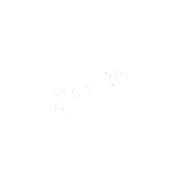 C=C(NCC(=O)NC1CN([C@H]2CC[C@@](O)(c3ccc4oc(=O)n(C)c4c3)CC2)C1)c1cccc(C(F)(F)F)c1